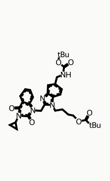 CC(C)(C)OC(=O)NCc1ccc2c(c1)nc(Cn1c(=O)n(C3CC3)c(=O)c3ccccc31)n2CCCCOC(=O)C(C)(C)C